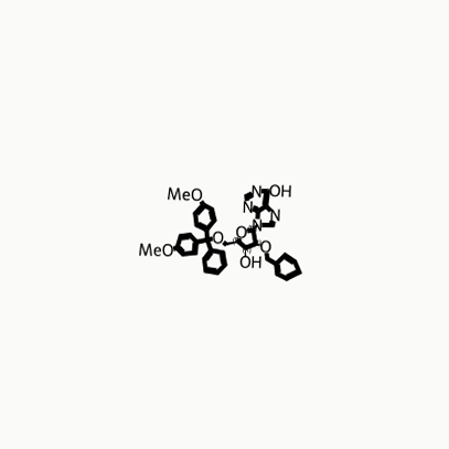 COc1ccc(C(OC[C@H]2O[C@@H](n3cnc4c(O)ncnc43)[C@H](OCc3ccccc3)[C@@H]2O)(c2ccccc2)c2ccc(OC)cc2)cc1